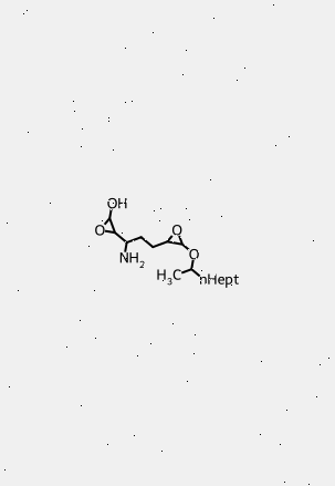 CCCCCCCC(C)OC1OC1CCC(N)C1OC1O